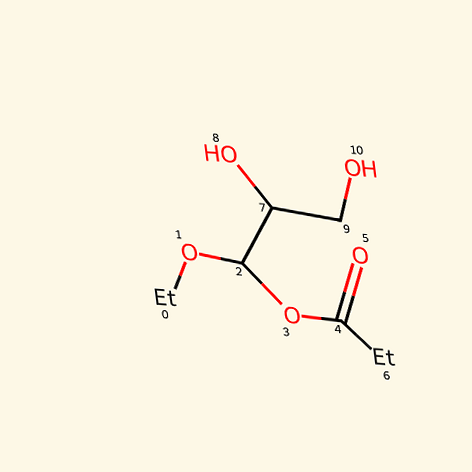 [CH2]COC(OC(=O)CC)C(O)CO